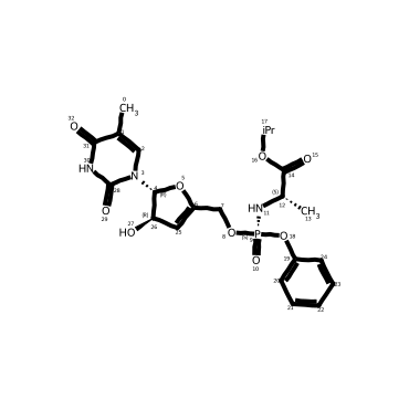 Cc1cn([C@@H]2OC(CO[P@@](=O)(N[C@@H](C)C(=O)OC(C)C)Oc3ccccc3)=C[C@H]2O)c(=O)[nH]c1=O